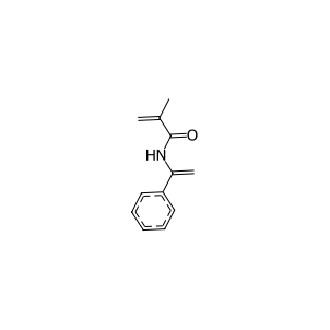 C=C(C)C(=O)NC(=C)c1ccccc1